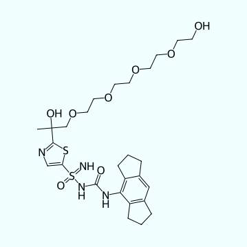 CC(O)(COCCOCCOCCOCCO)c1ncc(S(=N)(=O)NC(=O)Nc2c3c(cc4c2CCC4)CCC3)s1